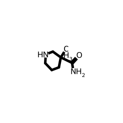 CC1(C(N)=O)CCCNC1